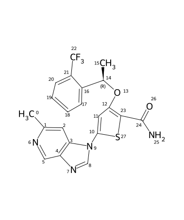 Cc1cc2c(cn1)ncn2-c1cc(O[C@H](C)c2ccccc2C(F)(F)F)c(C(N)=O)s1